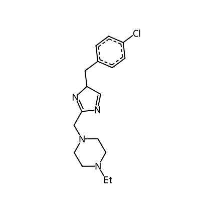 CCN1CCN(CC2=NC(Cc3ccc(Cl)cc3)C=N2)CC1